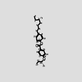 CC[C@H](C)CCCCc1ccc(OC(=O)c2ccc(O[C@H](C)CC)cc2)cc1